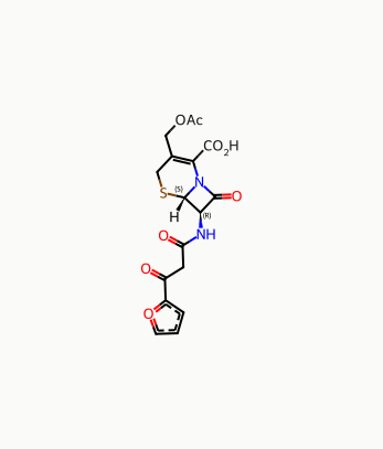 CC(=O)OCC1=C(C(=O)O)N2C(=O)[C@@H](NC(=O)CC(=O)c3ccco3)[C@@H]2SC1